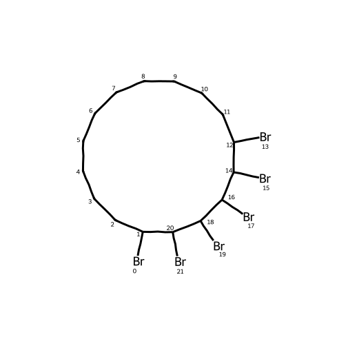 BrC1CCCCCCCCCCC(Br)C(Br)C(Br)C(Br)C1Br